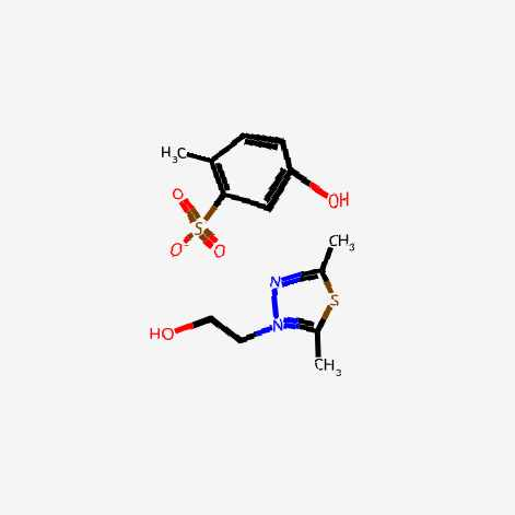 Cc1ccc(O)cc1S(=O)(=O)[O-].Cc1n[n+](CCO)c(C)s1